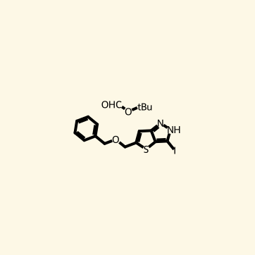 CC(C)(C)OC=O.Ic1[nH]nc2cc(COCc3ccccc3)sc12